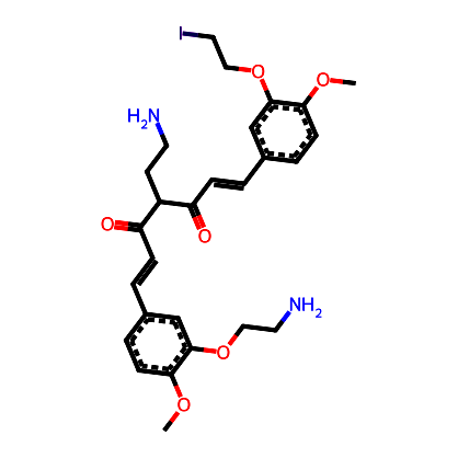 COc1ccc(/C=C/C(=O)C(CCN)C(=O)/C=C/c2ccc(OC)c(OCCI)c2)cc1OCCN